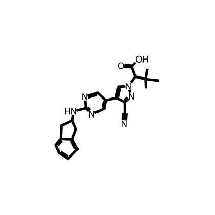 CC(C)(C)C(C(=O)O)n1cc(-c2cnc(NC3Cc4ccccc4C3)nc2)c(C#N)n1